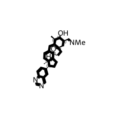 CNC[C@H]1C[C@@]23CC[C@@]4(O2)C(=CC[C@]2(C)[C@@H](c5ccc6ncncc6c5)CC[C@H]24)CC3[C@@H](C)[C@@H]1O